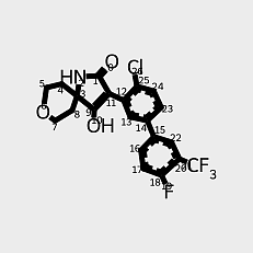 O=C1NC2(CCOCC2)C(O)=C1c1cc(-c2ccc(F)c(C(F)(F)F)c2)ccc1Cl